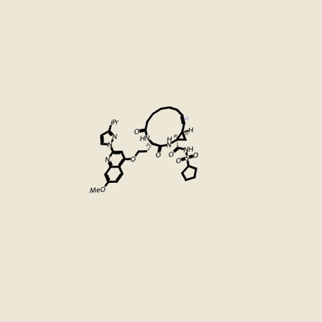 COc1ccc2c(OCC[C@@H]3NC(=O)CCCCC/C=C\[C@@H]4C[C@@]4(C(=O)NS(=O)(=O)C4CCCC4)NC3=O)cc(-n3ccc(C(C)C)n3)nc2c1